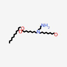 CCCCCCCCC(CC)OC(=O)CCCCCCCN(CCCN)CCCCCCCC=O